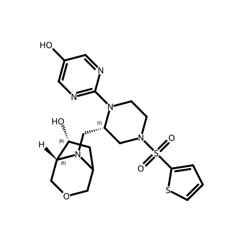 O=S(=O)(c1cccs1)N1CCN(c2ncc(O)cn2)[C@@H](CN2C3COC[C@@H]2[C@H](O)C3)C1